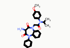 COc1ccc(N(C(=O)CN2C(=O)C(N)C(=O)N(c3ccccc3)c3ccccc32)C(C)C)cc1